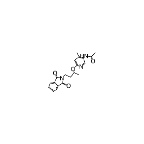 CC(=O)Nc1cnc(OC(C)CCN2C(=O)c3ccccc3C2=O)cc1C